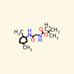 Cc1ccc(C)c(NC(=O)CNC(=O)OC(C)(C)C)c1